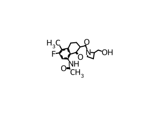 CC(=O)Nc1cc(F)c(C)c2c1C(=O)C(C(=O)N1CCC1CO)CC2